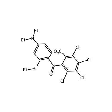 CCOc1cc(N(CC)CC)ccc1C(=O)c1c(Cl)c(Cl)c(Cl)c(Cl)c1C(=O)O